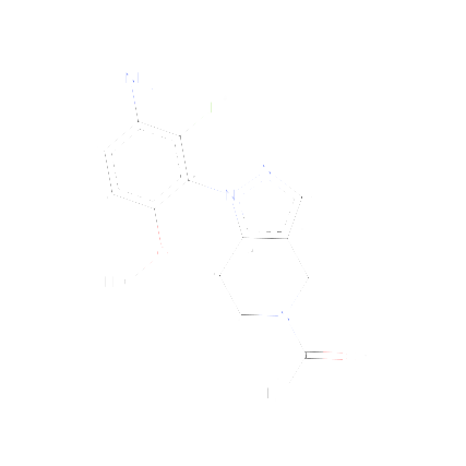 COc1ccc(N)c(F)c1-n1ncc2c1CCN(C(C)=O)C2